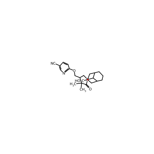 CC1(C)C(=O)N(C2C3CCCC2CC(C(=O)O)C3)CC1COc1ccc(C#N)cn1